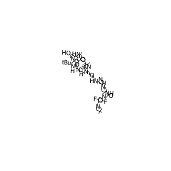 Cc1ncsc1-c1ccc([C@H](C)NC(=O)[C@@H]2C[C@@H](O)CN2C(=O)[C@@H](NC(=O)CN2C[C@H]3CN(CCOCCNc4cc(N5CCC6(CC5)CN(c5cc(F)c(CN7CCC(C)(C)CC7)cc5F)CC(=O)N6)ncn4)C[C@H]3C2)C(C)(C)C)cc1